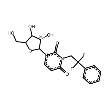 O=c1ccn(C2OC(CO)C(O)[C@@H]2O)c(=O)n1CC(F)(F)c1ccccc1